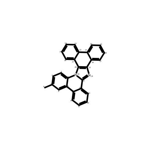 Cc1ccc2c(c1)c1ccccc1c1nc3c4ccccc4c4ccccc4c3n21